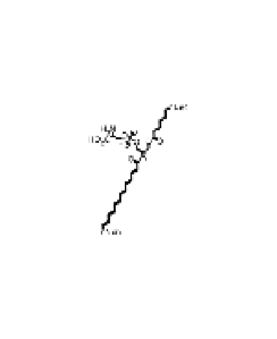 CCCCCCCCCC=CC=CC=CC=CC=CC=CC(=O)O[C@H](COC(=O)CCCCCCCCCCCCCCC)COP(=O)(O)OC[C@H](N)C(=O)O